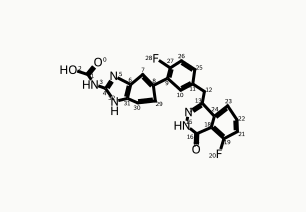 O=C(O)Nc1nc2cc(-c3cc(Cc4n[nH]c(=O)c5c(F)cccc45)ccc3F)ccc2[nH]1